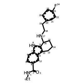 CCNC(=O)c1ccc2[nH]c3c(c2c1)CCCC3NCCc1ccc(F)cc1